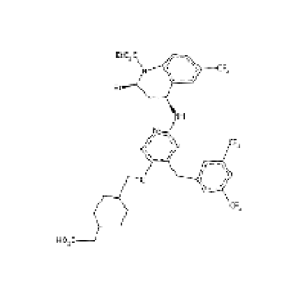 CCOC(=O)N1c2ccc(C(F)(F)F)cc2[C@@H](Nc2ncc(OCC3CCC(CC(=O)O)CC3)c(Cc3cc(C(F)(F)F)cc(C(F)(F)F)c3)n2)C[C@H]1CC